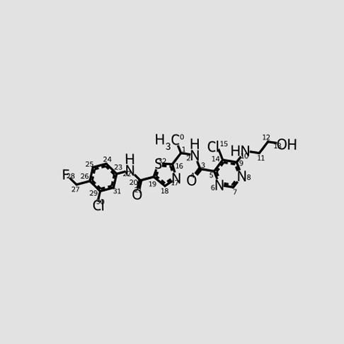 CC(NC(=O)c1ncnc(NCCO)c1Cl)c1ncc(C(=O)Nc2ccc(CF)c(Cl)c2)s1